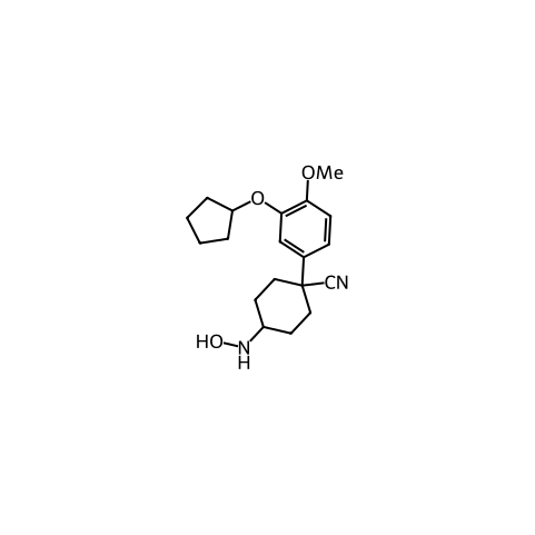 COc1ccc(C2(C#N)CCC(NO)CC2)cc1OC1CCCC1